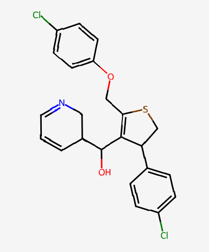 OC(C1=C(COc2ccc(Cl)cc2)SCC1c1ccc(Cl)cc1)C1C=CC=NC1